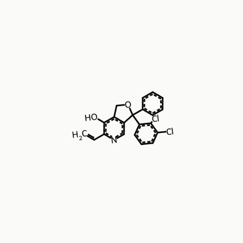 C=Cc1ncc2c(c1O)COC2(c1ccccc1)c1cccc(Cl)c1Cl